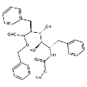 CC(C)(C)OC(=O)N[C@@H](Cc1ccccc1)[C@@H](O)[C@@H](O)[C@H](Cc1ccccc1)N(C=O)OCc1ccccc1